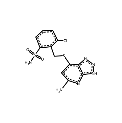 Nc1cc(SCc2c(Cl)cccc2S(N)(=O)=O)c2nn[nH]c2n1